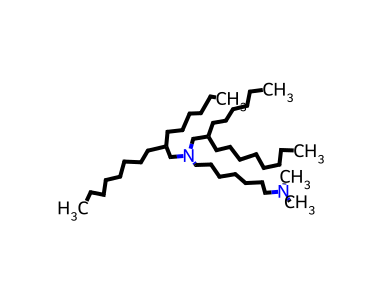 CCCCCCCCC(CCCCCC)CN(CCCCCCCN(C)C)CC(CCCCCC)CCCCCCCC